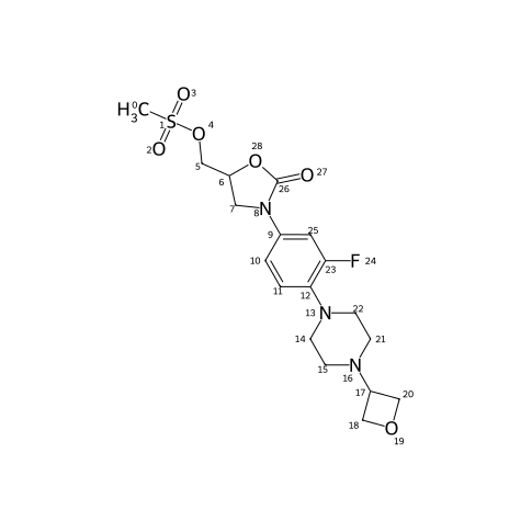 CS(=O)(=O)OCC1CN(c2ccc(N3CCN(C4COC4)CC3)c(F)c2)C(=O)O1